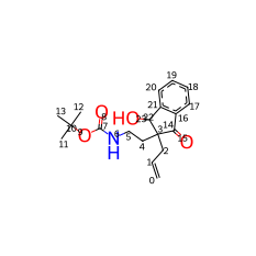 C=CCC1(CCNC(=O)OC(C)(C)C)C(=O)c2ccccc2C1O